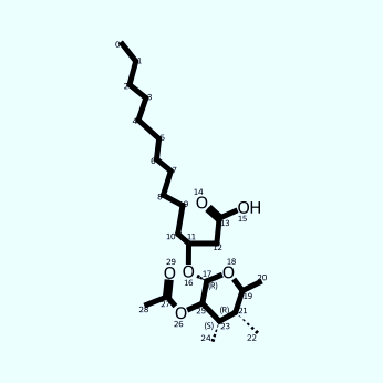 CCCCCCCCCCCC(CC(=O)O)O[C@@H]1OC(C)[C@H](C)[C@H](C)C1OC(C)=O